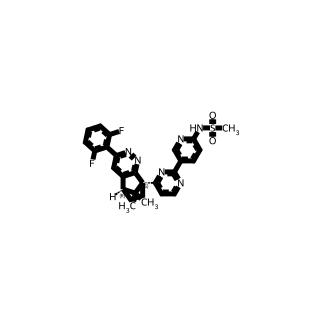 CC1(C)[C@H]2CC[C@]1(c1ccnc(-c3ccc(NS(C)(=O)=O)nc3)n1)c1nnc(-c3c(F)cccc3F)cc12